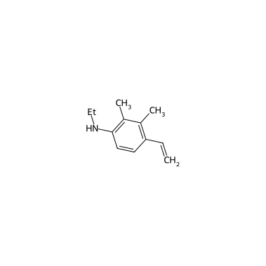 C=Cc1ccc(NCC)c(C)c1C